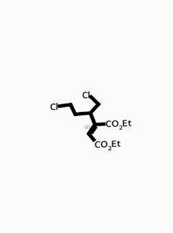 CCOC(=O)/C=C(\C(=O)OCC)C(CCl)CCCl